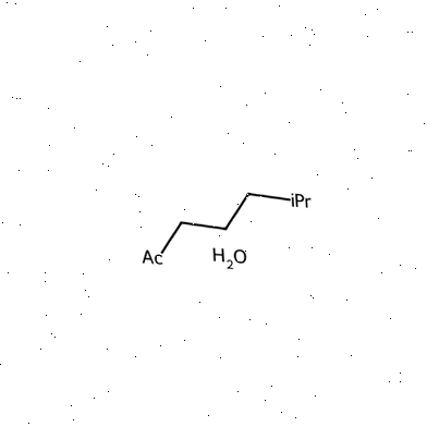 CC(=O)CCCC(C)C.O